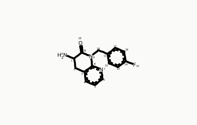 NC1Cc2cccnc2N(Cc2ccc(F)cc2)C1=O